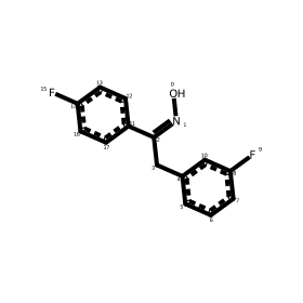 ON=C(Cc1cccc(F)c1)c1ccc(F)cc1